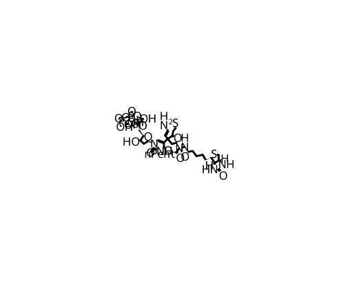 CCCCCC(=O)N(CCC(C=CN)(C(=O)CC=S)c1cn([C@H]2C[C@H](O)[C@@H](COP(=O)(O)OP(=O)(O)OP(=O)(O)O)O2)c(=O)[nH]c1=O)NC(=O)CCCC[C@@H]1SC[C@@H]2NC(=O)N[C@@H]21